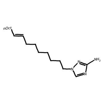 CCCCCCCCC=CCCCCCCCn1cnc(N)n1